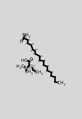 CCCCCCCCCCCCCCCCCC(N)=O.CCC[C@@H](C(=O)O)N(C)C